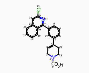 O=C(O)N1CC=C(c2cccc(-c3nc(Cl)cc4ccccc34)c2)CC1